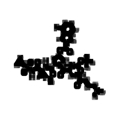 C=C[C@@H]1C[C@]1(NC(=O)[C@@H]1C[C@@H](OC(=O)N2Cc3cccc(F)c3C2)CN1C(=O)[C@H](CNC(=O)/C=C/CN(C)C)NC(=O)OC(C)(C)C)C(=O)NS(=O)(=O)C1CC1